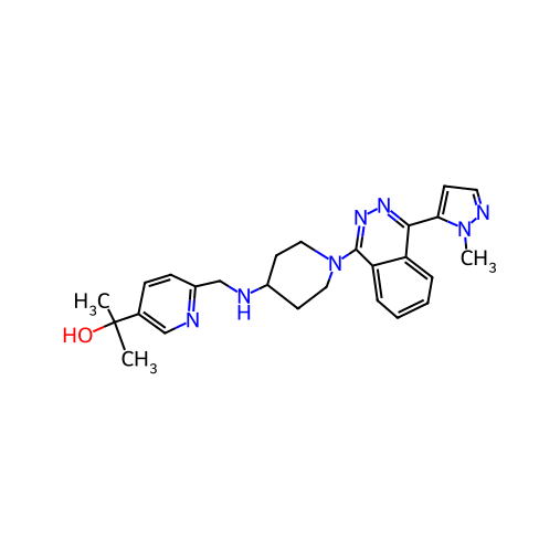 Cn1nccc1-c1nnc(N2CCC(NCc3ccc(C(C)(C)O)cn3)CC2)c2ccccc12